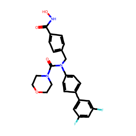 O=C(NO)c1ccc(CN(C(=O)N2CCOCC2)c2ccc(-c3cc(F)cc(F)c3)cc2)cc1